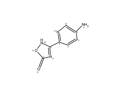 Nc1ccc(-c2nc(=O)o[nH]2)nc1